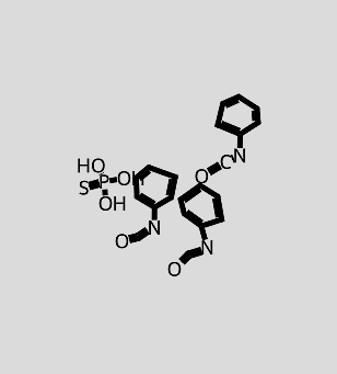 O=C=Nc1ccccc1.O=C=Nc1ccccc1.O=C=Nc1ccccc1.OP(O)(O)=S